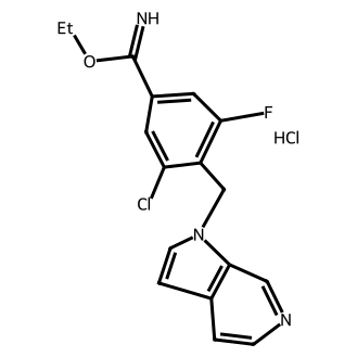 CCOC(=N)c1cc(F)c(Cn2ccc3ccncc32)c(Cl)c1.Cl